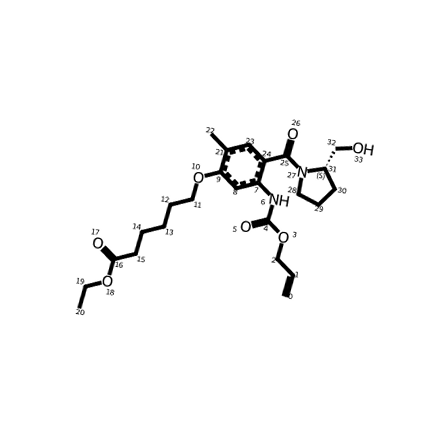 C=CCOC(=O)Nc1cc(OCCCCCC(=O)OCC)c(C)cc1C(=O)N1CCC[C@H]1CO